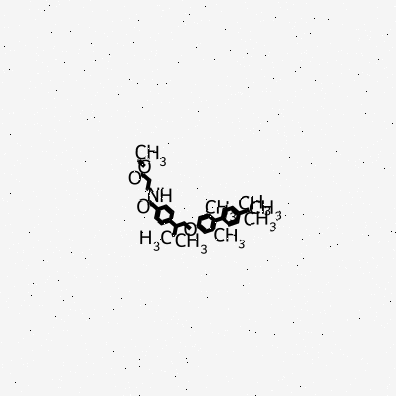 CCOC(=O)CCNC(=O)c1ccc(C(COc2cc(C)c(-c3ccc(C(C)(C)C)cc3)c(C)c2)C(C)C)cc1